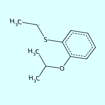 C[CH]Sc1ccccc1OC(C)C